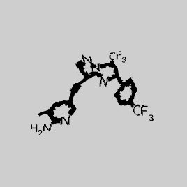 Cc1cc(C#Cc2cnn3c(C(F)(F)F)cc(-c4ccc(C(F)(F)F)cc4)nc23)cnc1N